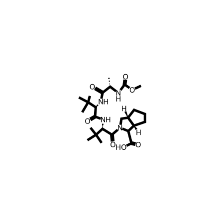 COC(=O)N[C@@H](C)C(=O)N[C@H](C(=O)N[C@H](C(=O)N1C[C@@H]2CCC[C@@H]2C1C(=O)O)C(C)(C)C)C(C)(C)C